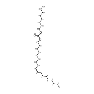 CCCCCCCC/C=C\CCCCCCCCOC(=O)OCCCCCCCC